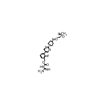 CS(=O)(=O)CCON=C1CCN(c2ncc(-c3cccc(COC(=O)NC(=N)N)c3F)cn2)CC1